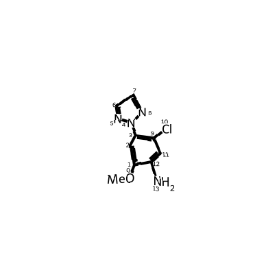 COc1cc(-n2nccn2)c(Cl)cc1N